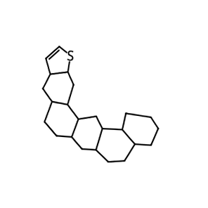 C1=CC2CC3CCC4CC5CCC6CCCCC6C5CC4C3CC2S1